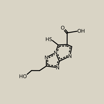 O=C(O)c1cnc2nc(CCO)nn2c1S